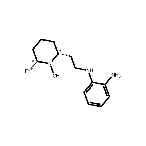 CC[C@@H]1CCC[C@H](CCNc2ccccc2N)N1C